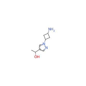 CC(O)c1cnn(C2CC(N)C2)c1